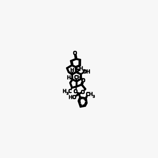 Cc1ccccc1C1(O)OCC(=O)[C@@]2(O1)[C@H](C)C[C@H]1[C@@H]3CCC4=CC(=O)C=C[C@]4(C)[C@@]3(F)[C@@H](O)C[C@@]12C